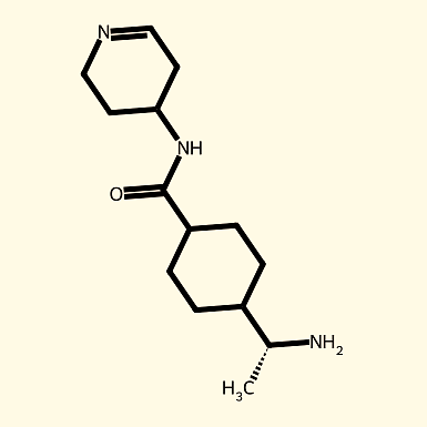 C[C@@H](N)C1CCC(C(=O)NC2CC=NCC2)CC1